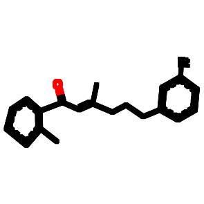 CCc1cccc(CCC/C(C)=C/C(=O)c2ccccc2C)c1